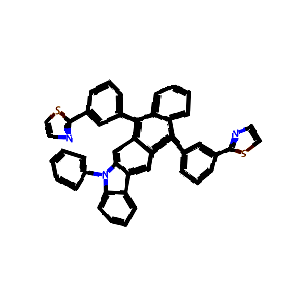 c1ccc(-n2c3ccccc3c3cc4c(-c5cccc(-c6nccs6)c5)c5ccccc5c(-c5cccc(-c6nccs6)c5)c4cc32)cc1